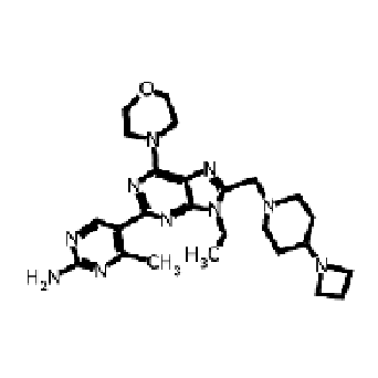 CCn1c(CN2CCC(N3CCC3)CC2)nc2c(N3CCOCC3)nc(-c3cnc(N)nc3C)nc21